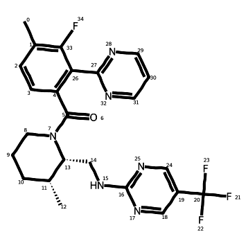 Cc1ccc(C(=O)N2CCC[C@@H](C)[C@H]2CNc2ncc(C(F)(F)F)cn2)c(-c2ncccn2)c1F